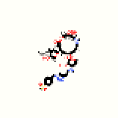 CC[C@H]1OC(=O)[C@H](C)[C@@H](C2C[C@@](C)(OC)[C@@H](O)[C@H](C)O2)[C@H](C)[C@@H](O[C@@H]2O[C@H](C)C[C@H](N(C)CCc3cn(Cc4ccc(S(C)(=O)=O)cc4)nn3)[C@H]2O)[C@](C)(O)C[C@@H](C)CN(C)[C@H](C)[C@@H](O)[C@]1(C)O